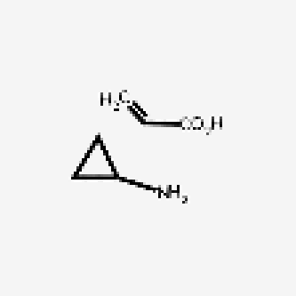 C=CC(=O)O.NC1CC1